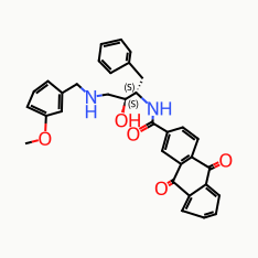 COc1cccc(CNC[C@H](O)[C@H](Cc2ccccc2)NC(=O)c2ccc3c(c2)C(=O)c2ccccc2C3=O)c1